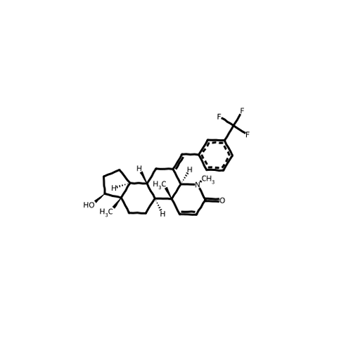 CN1C(=O)C=C[C@]2(C)[C@H]3CC[C@]4(C)[C@@H](O)CC[C@H]4[C@@H]3C/C(=C/c3cccc(C(F)(F)F)c3)[C@@H]12